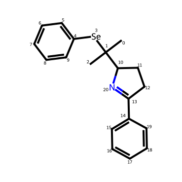 CC(C)([Se]c1ccccc1)C1CCC(c2ccccc2)=N1